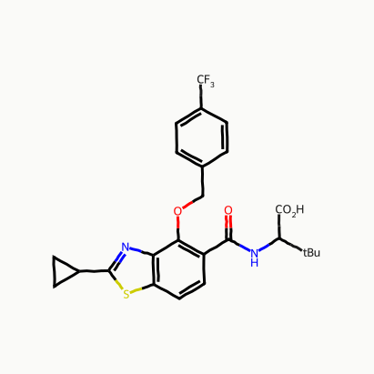 CC(C)(C)C(NC(=O)c1ccc2sc(C3CC3)nc2c1OCc1ccc(C(F)(F)F)cc1)C(=O)O